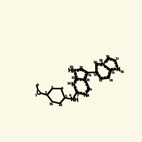 COC1CCC(Nc2ncc3c(-c4ccc5nccn5c4)c[nH]c3n2)CC1